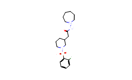 O=C(CC1CCCN(S(=O)(=O)c2ccccc2Cl)C1)NN1CCCCCC1